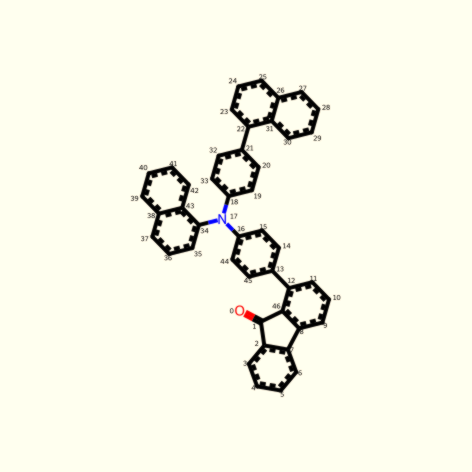 O=C1c2ccccc2-c2cccc(-c3ccc(N(c4ccc(-c5cccc6ccccc56)cc4)c4cccc5ccccc45)cc3)c21